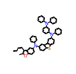 C=C/C=C\c1c(C)oc2ccc(N(c3ccccc3)c3ccc4sc5ccc(N(c6ccccc6)c6cccc(N(c7ccccc7)c7ccccc7)c6)cc5c4c3)cc12